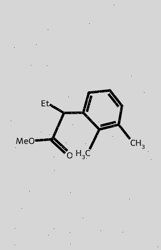 CCC(C(=O)OC)c1cccc(C)c1C